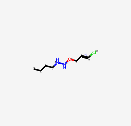 CC[CH]CNNOC/C=C/Cl